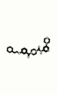 O=C(Nc1cncc(N2CCOCC2)c1)N1CCN(C(=O)c2cccc(OCCC3CCCCC3)c2)CC1